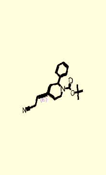 CC(C)(C)OC(=O)N1CC/C(=C\CC#N)CC1c1ccccc1